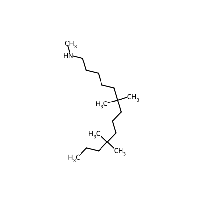 CCCC(C)(C)CCCC(C)(C)CCCCCNC